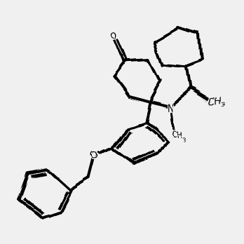 CC(C1CCCCC1)N(C)C1(c2cccc(OCc3ccccc3)c2)CCC(=O)CC1